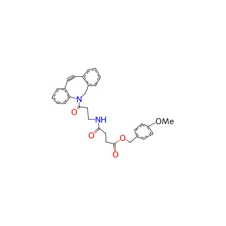 COc1ccc(COC(=O)CCC(=O)NCCC(=O)N2Cc3ccccc3C#Cc3ccccc32)cc1